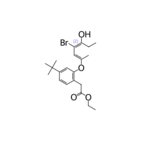 CCOC(=O)Cc1ccc(C(C)(C)C)cc1OC(C)=C/C(Br)=C(/O)CC